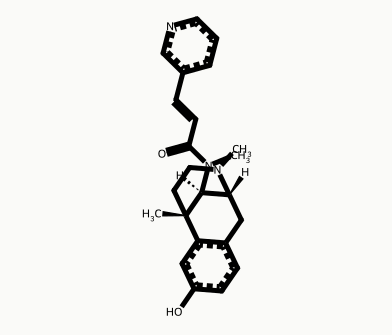 CN1CC[C@@]2(C)c3cc(O)ccc3C[C@@H]1[C@@H]2N(C)C(=O)/C=C/c1cccnc1